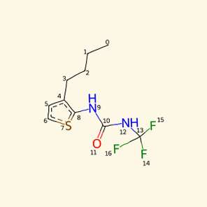 CCCCc1ccsc1NC(=O)NC(F)(F)F